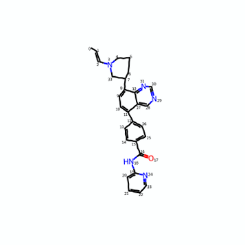 CC=CN1CCCC(c2ccc(-c3ccc(C(=O)Nc4ccccn4)cc3)c3cncnc23)C1